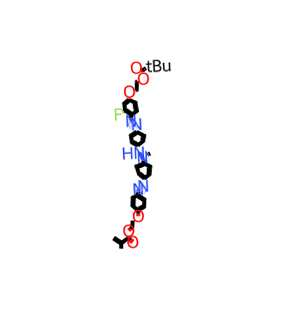 C=C(C)C(=O)OCCOc1ccc(/N=N/c2ccc(N(C)Nc3ccc(/N=N/c4ccc(OCCOC(=O)C(C)(C)C)cc4F)cc3)cc2)cc1